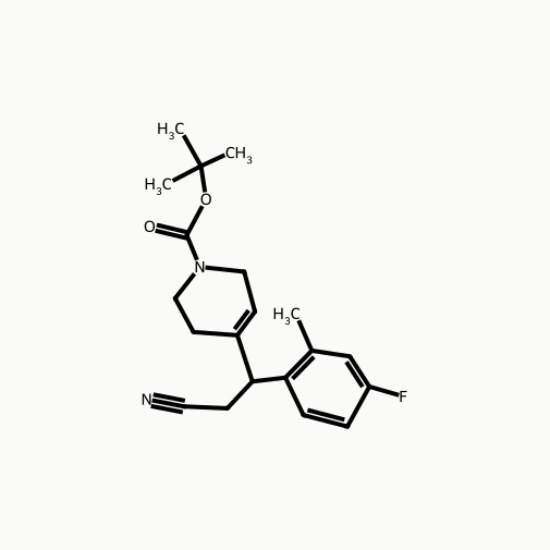 Cc1cc(F)ccc1C(CC#N)C1=CCN(C(=O)OC(C)(C)C)CC1